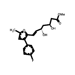 COC(=O)C[C@@H](O)C[C@H](O)C=Cc1oc(C)cc1-c1ccc(F)cc1